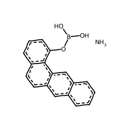 N.OB(O)Oc1cccc2ccc3cc4ccccc4cc3c12